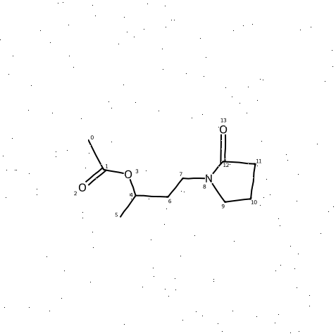 CC(=O)OC(C)CCN1CCCC1=O